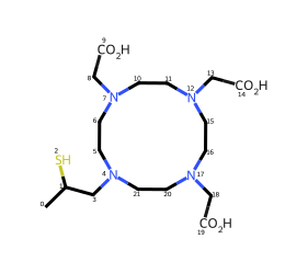 CC(S)CN1CCN(CC(=O)O)CCN(CC(=O)O)CCN(CC(=O)O)CC1